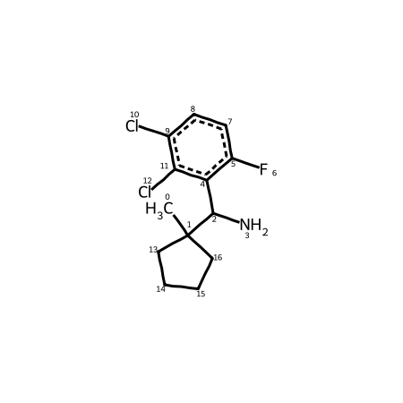 CC1(C(N)c2c(F)ccc(Cl)c2Cl)CCCC1